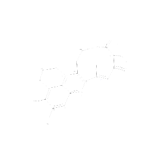 C=C1/C=C(\C)c2nc3cc(F)c(C)c4c3c(c2CCOC(=O)[C@]1(O)CC)CCC4